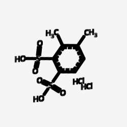 Cc1ccc(S(=O)(=O)O)c(S(=O)(=O)O)c1C.Cl.Cl